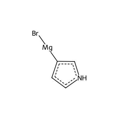 [Br][Mg][c]1cc[nH]c1